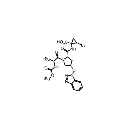 CC[C@@H]1C[C@]1(NC(=O)[C@@H]1C[C@@H](On2nnc3ccccc32)CN1C(=O)[C@@H](NC(=O)OC(C)(C)C)C(C)(C)C)C(=O)O